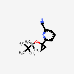 CC(C)(C)[Si](C)(C)OC1(c2cccc(C#N)n2)CC1